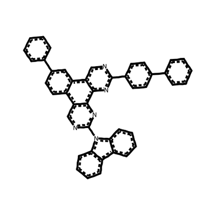 c1ccc(-c2ccc(-c3ncc4c5cc(-c6ccccc6)ccc5c5cnc(-n6c7ccccc7c7ccccc76)nc5c4n3)cc2)cc1